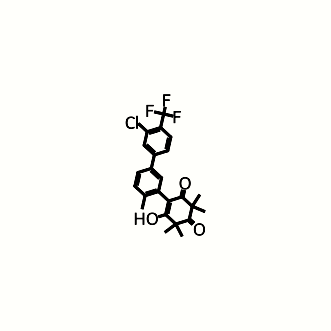 Cc1ccc(-c2ccc(C(F)(F)F)c(Cl)c2)cc1C1=C(O)C(C)(C)C(=O)C(C)(C)C1=O